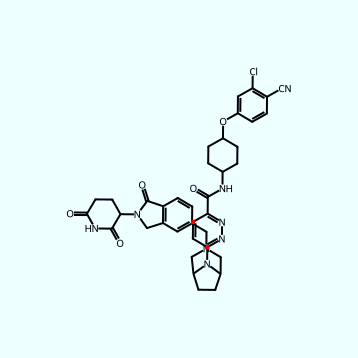 N#Cc1ccc(OC2CCC(NC(=O)c3ccc(N4C5CCC4CN(Cc4ccc6c(c4)CN(C4CCC(=O)NC4=O)C6=O)C5)nn3)CC2)cc1Cl